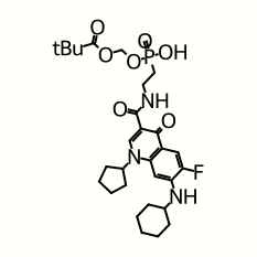 CC(C)(C)C(=O)OCOP(=O)(O)CCNC(=O)c1cn(C2CCCC2)c2cc(NC3CCCCC3)c(F)cc2c1=O